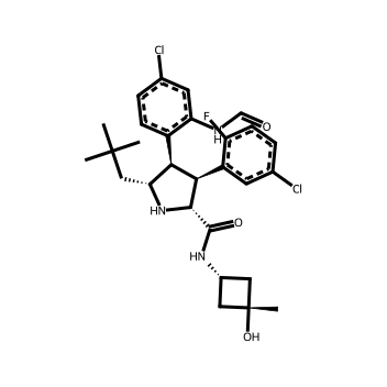 CC(C)(C)C[C@H]1N[C@@H](C(=O)N[C@H]2C[C@@](C)(O)C2)[C@H](c2cc(Cl)ccc2F)[C@@H]1c1ccc(Cl)cc1NC=O